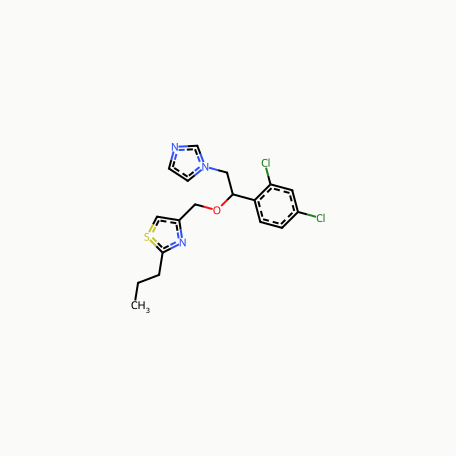 CCCc1nc(COC(Cn2ccnc2)c2ccc(Cl)cc2Cl)cs1